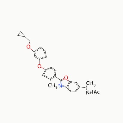 CC(=O)NC(C)c1ccc2nc(-c3ccc(Oc4cccc(OCC5CC5)c4)cc3C)oc2c1